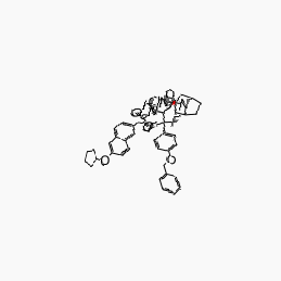 CN(C(C(=O)N1C2CCC1CC(N)C2)C(F)(F)c1ccc(OCc2ccccc2)cc1)S(=O)(=O)c1ccc2cc(OC3CCCC3)ccc2c1